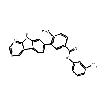 COc1ccc(C(=O)Nc2cccc(C(F)(F)F)c2)cc1-c1ccc2c(c1)[nH]c1ncncc12